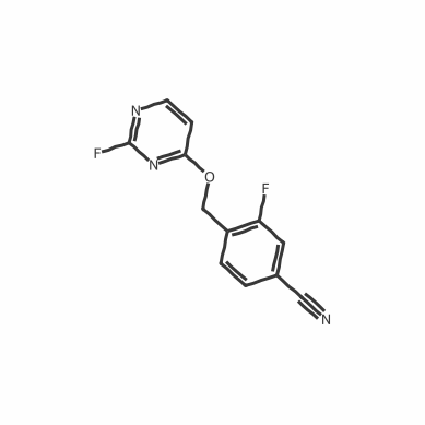 N#Cc1ccc(COc2ccnc(F)n2)c(F)c1